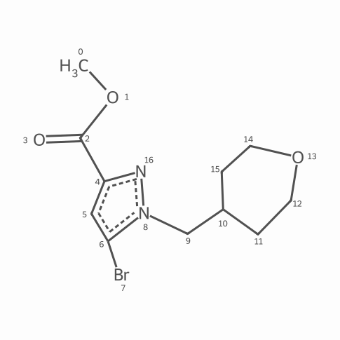 COC(=O)c1cc(Br)n(CC2CCOCC2)n1